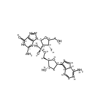 Nc1nc2c(nnn2[C@@H]2OC(CO)[C@H](F)[C@H]2P(=O)(S)OC[C@H]2O[C@@H](c3cnn4c(N)ncnc34)C[C@@H]2O)c(=O)[nH]1